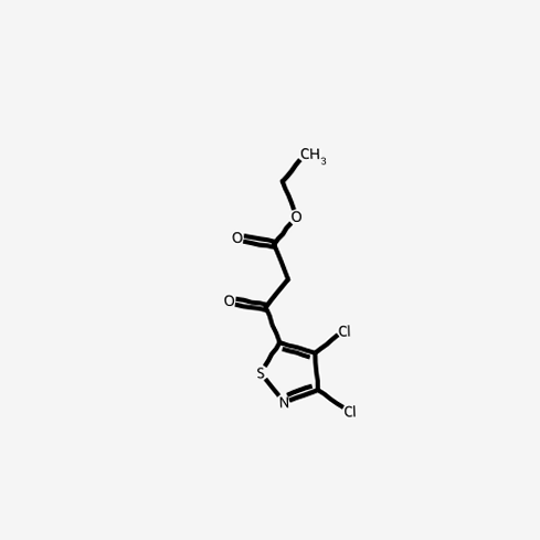 CCOC(=O)CC(=O)c1snc(Cl)c1Cl